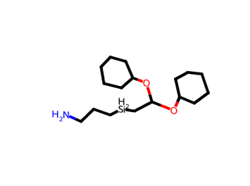 NCCC[SiH2]CC(OC1CCCCC1)OC1CCCCC1